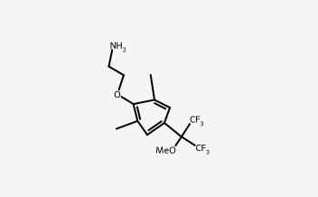 COC(c1cc(C)c(OCCN)c(C)c1)(C(F)(F)F)C(F)(F)F